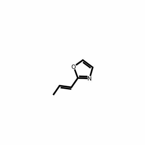 CC=Cc1ncco1